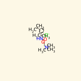 C=C(C)c1cccc(C(C)(C)NC(=O)OCC[N+](C)(C)C)c1.[Cl-]